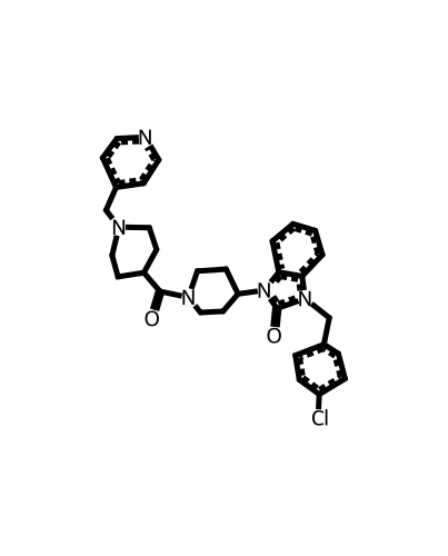 O=C(C1CCN(Cc2ccncc2)CC1)N1CCC(n2c(=O)n(Cc3ccc(Cl)cc3)c3ccccc32)CC1